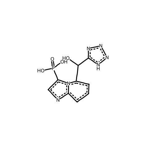 O=P(O)(O)c1cnc2cccc(C(O)c3nnn[nH]3)n12